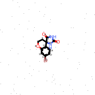 O=C1NC(=O)C2(CCOc3cc(Br)ccc32)N1